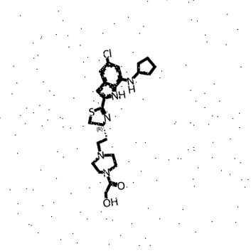 O=C(CO)N1CCN(CC[C@@H]2CSC(c3cc4cc(Cl)cc(NC5CCCC5)c4[nH]3)=N2)CC1